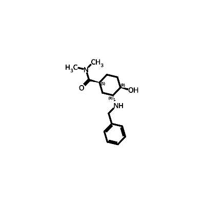 CN(C)C(=O)[C@H]1CC[C@@H](O)[C@H](NCc2ccccc2)C1